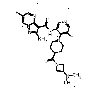 CN(C)C1CN(C(=O)C2CCN(c3c(F)cncc3NC(=O)c3c(N)nn4cc(F)cnc34)CC2)C1